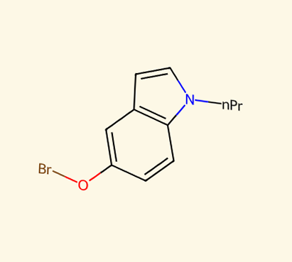 CCCn1ccc2cc(OBr)ccc21